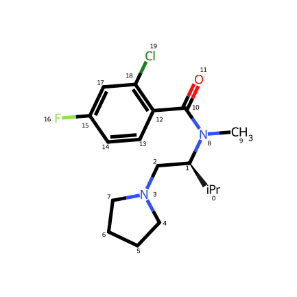 CC(C)[C@@H](CN1CCCC1)N(C)C(=O)c1ccc(F)cc1Cl